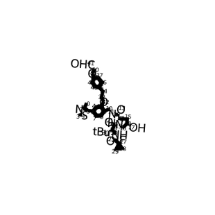 Cc1ncsc1-c1ccc(CNC(=O)[C@@H]2C[C@@H](O)CN2C(=O)[C@@H](NC(=O)C2(F)CC2)C(C)(C)C)c(OCCc2ccc(OCC=O)cc2)c1